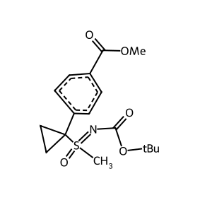 COC(=O)c1ccc(C2(S(C)(=O)=NC(=O)OC(C)(C)C)CC2)cc1